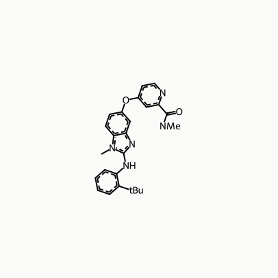 CNC(=O)c1cc(Oc2ccc3c(c2)nc(Nc2ccccc2C(C)(C)C)n3C)ccn1